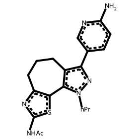 CCCn1nc(-c2ccc(N)nc2)c2c1-c1sc(NC(C)=O)nc1CCC2